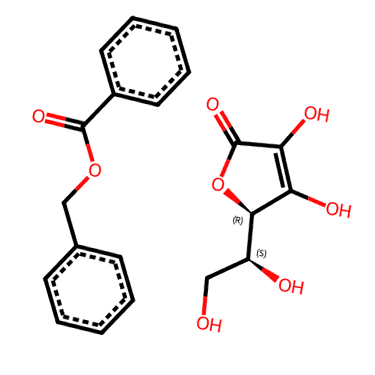 O=C(OCc1ccccc1)c1ccccc1.O=C1O[C@H]([C@@H](O)CO)C(O)=C1O